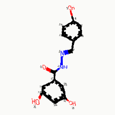 O=C(NN=Cc1ccc(O)cc1)c1cc(O)cc(O)c1